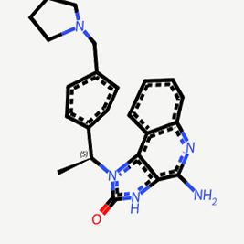 C[C@@H](c1ccc(CN2CCCC2)cc1)n1c(=O)[nH]c2c(N)nc3ccccc3c21